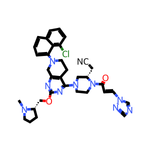 CN1CCC[C@H]1COc1nc2c(c(N3CCN(C(=O)/C=C/n4cncn4)[C@@H](CC#N)C3)n1)CCN(c1cccc3cccc(Cl)c13)C2